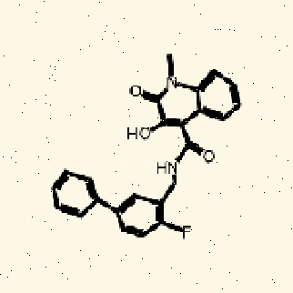 Cn1c(=O)c(O)c(C(=O)NCc2cc(-c3ccccc3)ccc2F)c2ccccc21